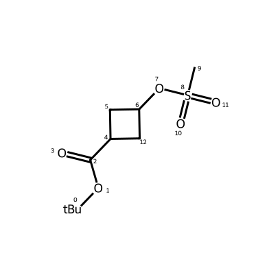 CC(C)(C)OC(=O)C1CC(OS(C)(=O)=O)C1